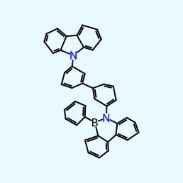 c1ccc(B2c3ccccc3-c3ccccc3N2c2cccc(-c3cccc(-n4c5ccccc5c5ccccc54)c3)c2)cc1